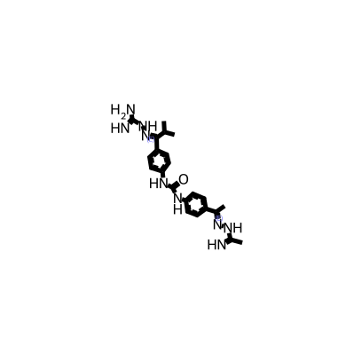 CC(=N)N/N=C(\C)c1ccc(NC(=O)Nc2ccc(/C(=N/NC(=N)N)C(C)C)cc2)cc1